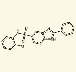 O=S(=O)(Nc1ccccc1Cl)c1ccc2[nH]c(-c3ccccc3)nc2c1